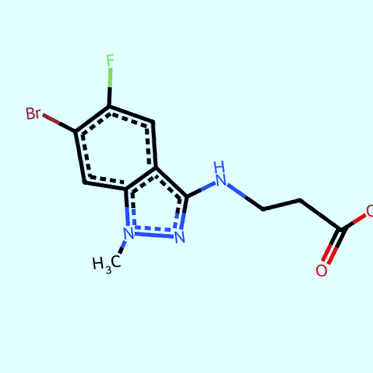 Cn1nc(NCCC(=O)O)c2cc(F)c(Br)cc21